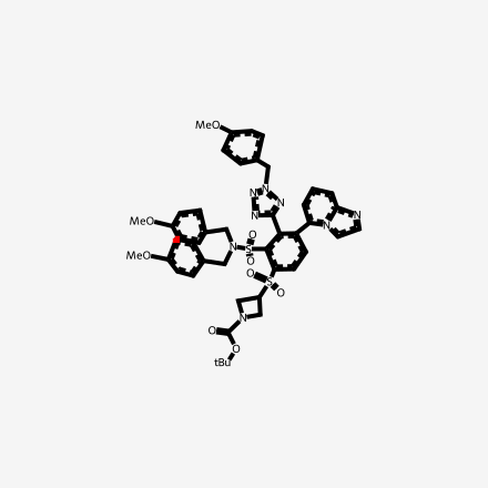 COc1ccc(CN(Cc2ccc(OC)cc2)S(=O)(=O)c2c(S(=O)(=O)C3CN(C(=O)OC(C)(C)C)C3)ccc(-c3cccc4nccn34)c2-c2nnn(Cc3ccc(OC)cc3)n2)cc1